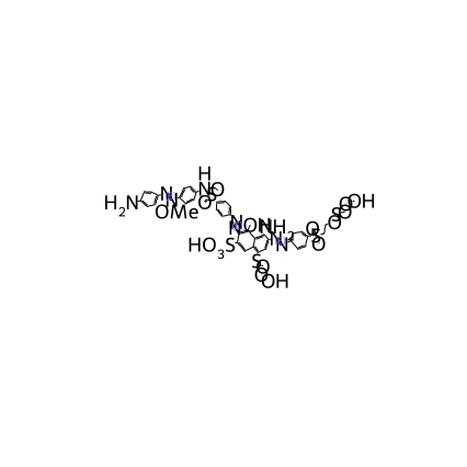 COc1cc(N)ccc1/N=N/c1ccc(NS(=O)(=O)c2ccc(/N=N/c3c(S(=O)(=O)O)cc4c(SOOO)cc(/N=N/c5ccc(S(=O)(=O)CCOSOOO)cc5)c(N)c4c3O)cc2)cc1